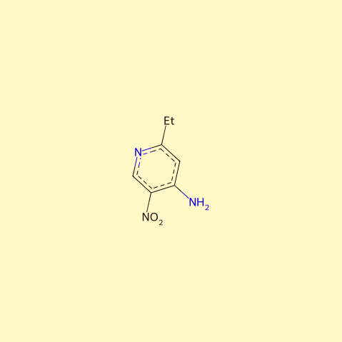 CCc1cc(N)c([N+](=O)[O-])cn1